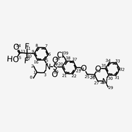 CC(C)CN(c1cccc(C(F)(F)C(=O)O)c1)S(=O)(=O)c1ccc(OC[C@@H]2CN(C)c3ccccc3O2)cc1Cl